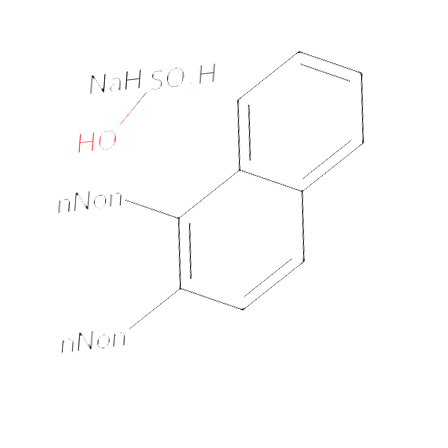 CCCCCCCCCc1ccc2ccccc2c1CCCCCCCCC.O=S(=O)(O)O.[NaH]